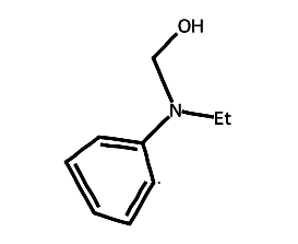 CCN(CO)c1[c]cccc1